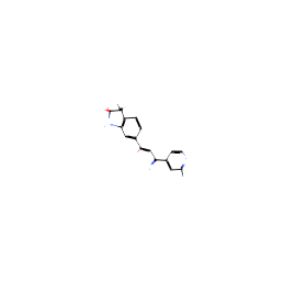 Cc1cc(C(=N)/C=C(\O)c2ccc3c(c2)N(C)C(=O)C3(C)C)ccn1